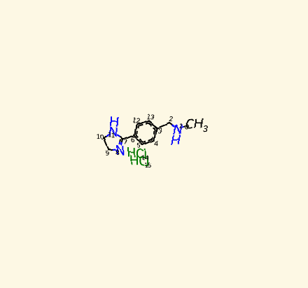 CNCc1ccc(C2=NCCN2)cc1.Cl.Cl